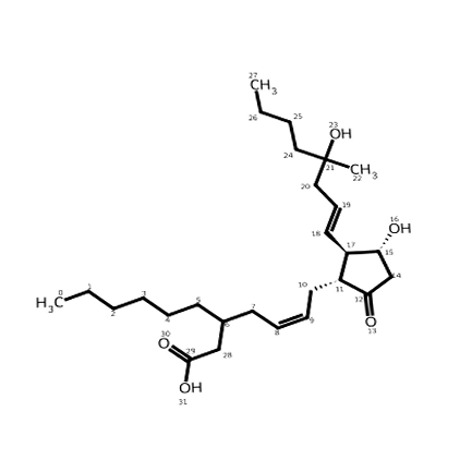 CCCCCCC(C/C=C\C[C@H]1C(=O)C[C@@H](O)[C@@H]1/C=C/CC(C)(O)CCCC)CC(=O)O